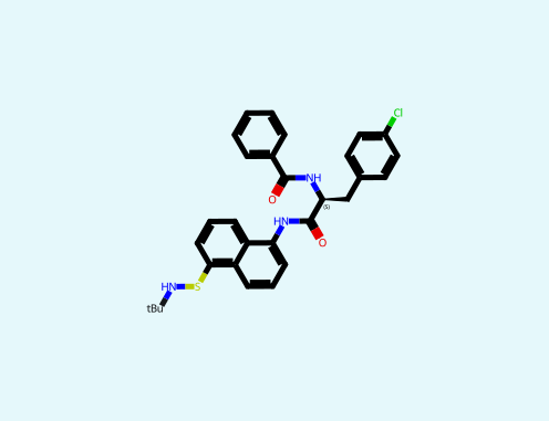 CC(C)(C)NSc1cccc2c(NC(=O)[C@H](Cc3ccc(Cl)cc3)NC(=O)c3ccccc3)cccc12